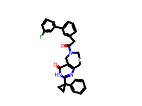 O=C(Cc1cccc(-c2cccc(F)c2)c1)N1CCCc2nc(C3(c4ccccc4)CC3)[nH]c(=O)c2C1